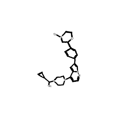 CCN1CCOC(c2ccc(-c3cc4c(N5CCN(C(O)C6CC6)CC5)ccnn4c3)cc2)C1